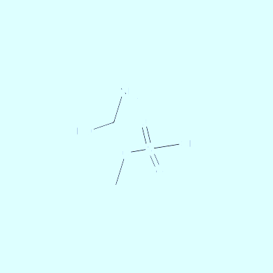 COS(=O)(=O)O.NCO